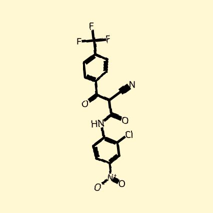 N#CC(C(=O)Nc1ccc([N+](=O)[O-])cc1Cl)C(=O)c1ccc(C(F)(F)F)cc1